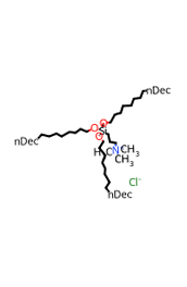 CCCCCCCCCCCCCCCCCCO[Si](CCC[N+](C)(C)C)(OCCCCCCCCCCCCCCCCCC)OCCCCCCCCCCCCCCCCCC.[Cl-]